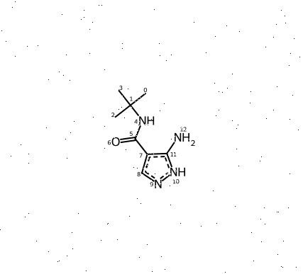 CC(C)(C)NC(=O)c1cn[nH]c1N